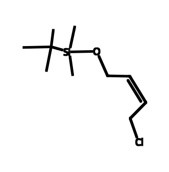 CC(C)(C)[Si](C)(C)OC/C=C\CCl